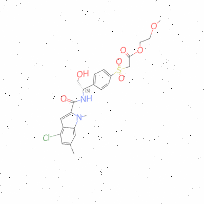 COCCOC(=O)CS(=O)(=O)c1ccc([C@@H](CO)NC(=O)c2cc3c(Cl)cc(C)cc3n2C)cc1